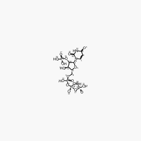 O=c1ccn([C@H]2O[C@@H](COP(=O)(O)OP(=O)(O)OP(=O)(O)O)C(O)C2OP(=O)(O)O)c(=O)[nH]1